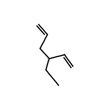 C=CC[C](C=C)CC